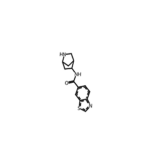 O=C(NC1CC2CC1CN2)c1ccc2ncsc2c1